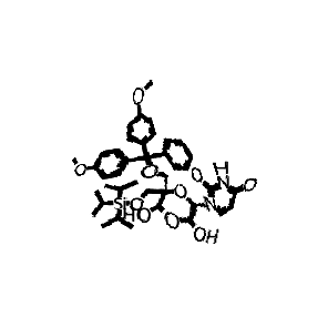 COc1ccc(C(OC[C@@]2(CO[Si](C(C)C)(C(C)C)C(C)C)O[C@@H](n3ccc(=O)[nH]c3=O)C(O)OC2O)(c2ccccc2)c2ccc(OC)cc2)cc1